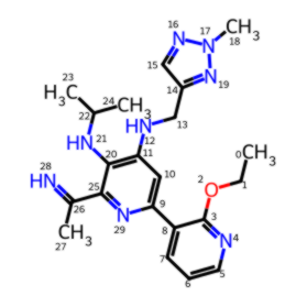 CCOc1ncccc1-c1cc(NCc2cnn(C)n2)c(NC(C)C)c(C(C)=N)n1